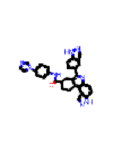 O=C(Nc1ccc(-n2ccnc2)cc1)C1CCc2c(c(-c3ccc4[nH]ncc4c3)nc3ccc4[nH]ncc4c23)C1